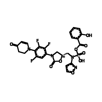 O=C1C=CN(c2c(F)cc(N3C[C@H](CN(c4ccon4)P(=O)(O)OC(=O)c4ccccc4O)OC3=O)c(F)c2F)CC1